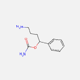 NCCCC(OC(N)=O)c1ccccc1